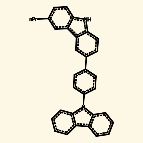 CCCc1ccc2[nH]c3ccc(-c4ccc(-n5c6ccccc6c6ccccc65)cc4)cc3c2c1